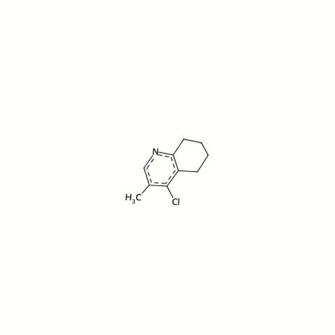 Cc1cnc2c(c1Cl)CCCC2